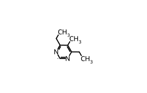 CCc1n[c]nc(CC)c1C